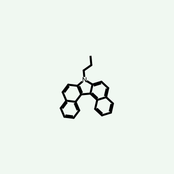 CCCn1c2ccc3ccccc3c2c2c3ccccc3ccc21